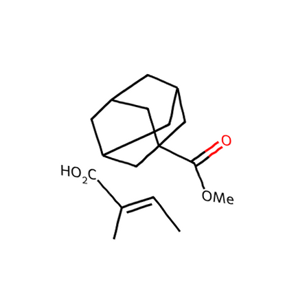 CC=C(C)C(=O)O.COC(=O)C12CC3CC(CC(C3)C1)C2